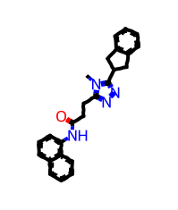 Cn1c(CCC(=O)Nc2cccc3ccccc23)nnc1C1Cc2ccccc2C1